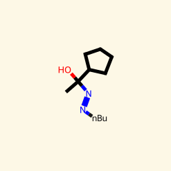 CCCCN=NC(C)(O)C1CCCC1